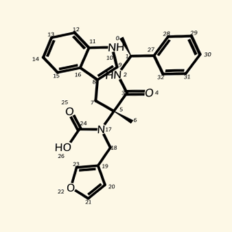 C[C@H](NC(=O)[C@@](C)(Cc1c[nH]c2ccccc12)N(Cc1ccoc1)C(=O)O)c1ccccc1